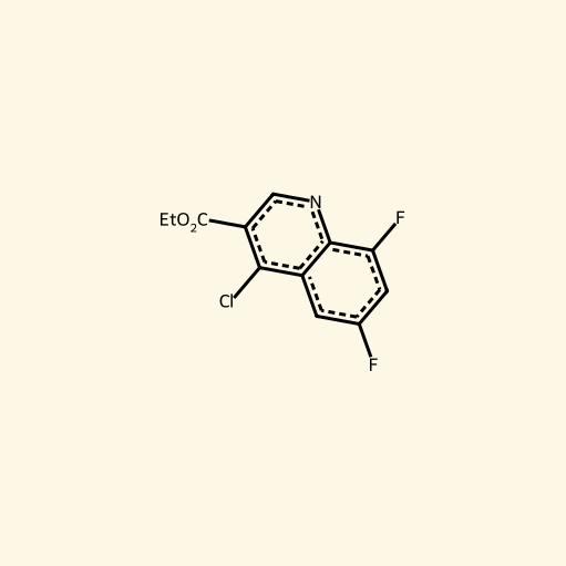 CCOC(=O)c1cnc2c(F)cc(F)cc2c1Cl